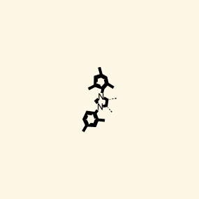 Cc1ccc(N2CN(c3c(C)cc(C)cc3C)[C@H](C)[C@@H]2C)c(C)c1